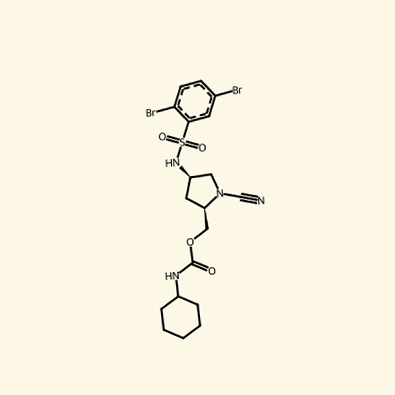 N#CN1C[C@H](NS(=O)(=O)c2cc(Br)ccc2Br)C[C@@H]1COC(=O)NC1CCCCC1